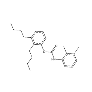 CCCCc1cccc(OC(=O)Nc2cccc(C)c2C)c1CCCC